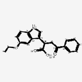 CCOc1ccc2[nH]cc(C(CC(=O)c3ccccc3)C(=O)O)c2c1